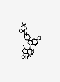 C[C@@H]1C[C@@H](O)c2ncnc(N3CC4(CCN(C(=O)OC(C)(C)C)CC4)c4cc(Cl)ccc43)c21